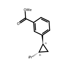 COC(=O)c1cccc([C@H]2C[C@@H]2C(C)C)c1